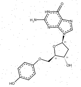 Nc1nc2c(ncn2[C@H]2C[C@H](O)[C@@H](COc3ccc(O)cc3)O2)c(=O)[nH]1